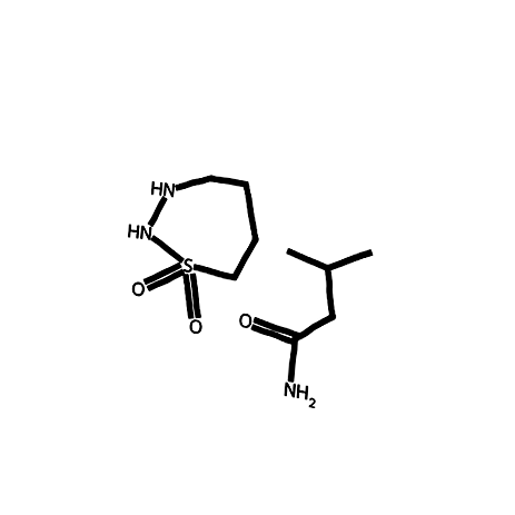 CC(C)CC(N)=O.O=S1(=O)CCCCNN1